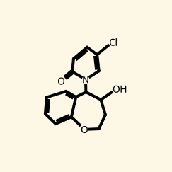 O=c1ccc(Cl)cn1C1c2ccccc2OCCC1O